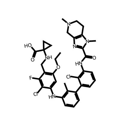 CCOc1cc(Nc2cccc(-c3cccc(NC(=O)c4nc5c(n4C)CCN(C)C5)c3Cl)c2C)c(Cl)c(F)c1CNC1(C(=O)O)CC1